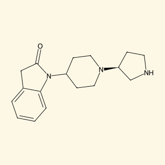 O=C1Cc2ccccc2N1C1CCN([C@H]2CCNC2)CC1